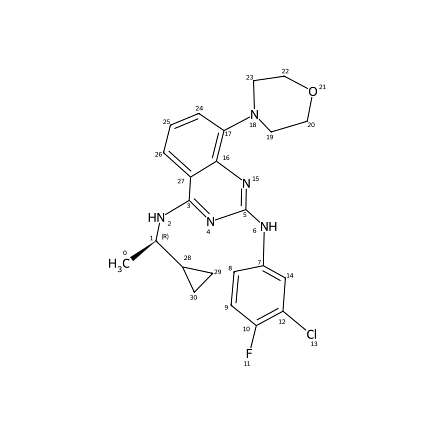 C[C@@H](Nc1nc(Nc2ccc(F)c(Cl)c2)nc2c(N3CCOCC3)cccc12)C1CC1